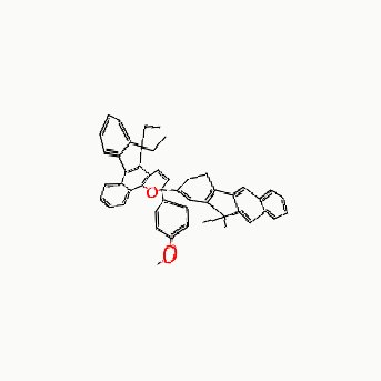 CCC1(CC)c2ccccc2-c2c1c1c(c3ccccc23)OC(C2=CC3=C(CC2)c2cc4ccccc4cc2C3(C)C)(c2ccc(OC)cc2)C=C1